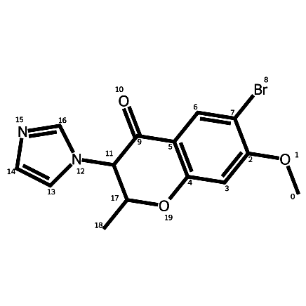 COc1cc2c(cc1Br)C(=O)C(n1ccnc1)C(C)O2